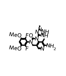 COc1cc(OC)c(F)c(N2Cc3cnc(N)c(C)c3N(C3=NN(C)NN3)C2=O)c1F